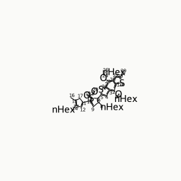 CCCCCCOc1c2cc(C3=C(CCCCCC)C=C(C4=CC(CCCCCC)=C(C)C4)S3(=O)=O)sc2c(OCCCCCC)c2cc(C)sc12